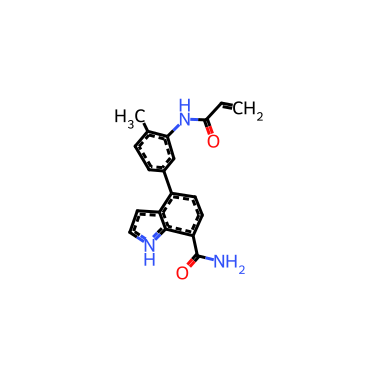 C=CC(=O)Nc1cc(-c2ccc(C(N)=O)c3[nH]ccc23)ccc1C